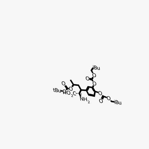 CCC(C)COC(=O)Oc1ccc(C(CC(C)OC(=O)OC(C)(C)C)[C@H](N)C(=O)O)cc1OC(=O)OCC(C)CC